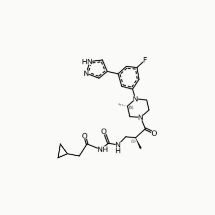 C[C@@H](CNC(=O)NC(=O)CC1CC1)C(=O)N1CCN(c2cc(F)cc(-c3cn[nH]c3)c2)[C@@H](C)C1